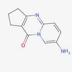 Nc1ccc2nc3c(c(=O)n2c1)CCC3